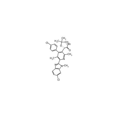 Cc1nc(-c2nc3ccc(Cl)cc3n2C)c(C)c(-c2ccc(Cl)cc2)c1[C@H](OC(C)(C)C)C(=O)O